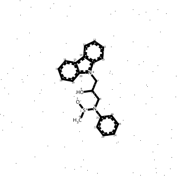 C[S+]([O-])N(CC(O)Cn1c2ccccc2c2ccccc21)c1ccccc1